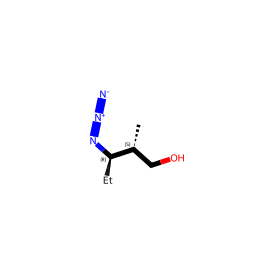 CC[C@@H](N=[N+]=[N-])[C@H](C)CO